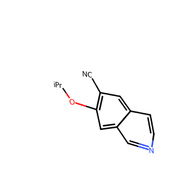 CC(C)Oc1cc2cnccc2cc1C#N